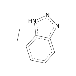 CC.c1ccc2[nH]nnc2c1